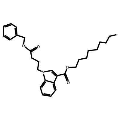 CCCCCCCCCOC(=O)c1cn(CCCC(=O)OCc2ccccc2)c2ccccc12